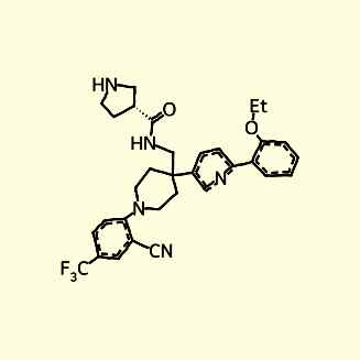 CCOc1ccccc1-c1ccc(C2(CNC(=O)[C@@H]3CCNC3)CCN(c3ccc(C(F)(F)F)cc3C#N)CC2)cn1